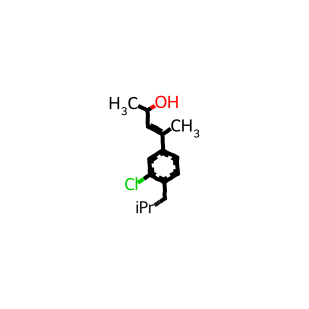 CC(=CC(C)O)c1ccc(CC(C)C)c(Cl)c1